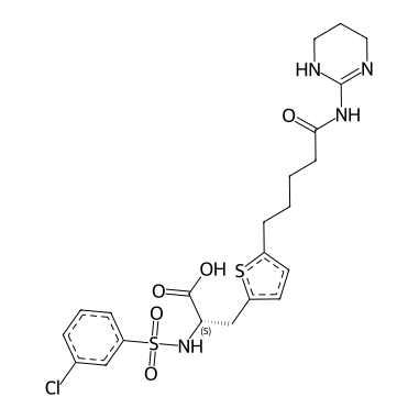 O=C(CCCCc1ccc(C[C@H](NS(=O)(=O)c2cccc(Cl)c2)C(=O)O)s1)NC1=NCCCN1